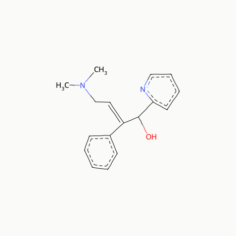 CN(C)C/C=C(\c1ccccc1)C(O)c1ccccn1